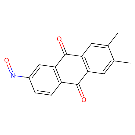 Cc1cc2c(cc1C)C(=O)c1cc(N=O)ccc1C2=O